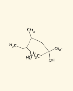 [CH2]C(C)(O)CC(C)C(C)O